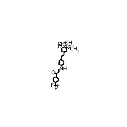 COc1cc(C=Cc2ccc(NC=CC(=O)c3ccc(C(F)(F)F)cc3)cc2)cc(OC)c1OC